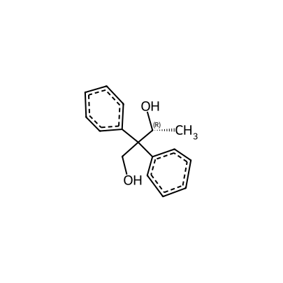 C[C@@H](O)C(CO)(c1ccccc1)c1ccccc1